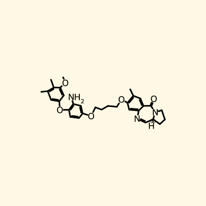 COc1cc(Oc2ccc(OCCCCOc3cc4c(cc3C)C(=O)N3CCC[C@H]3C=N4)cc2N)cc(C)c1C